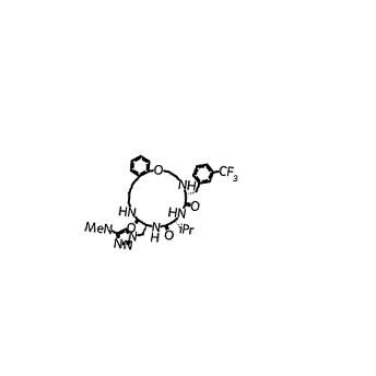 CNc1cn(C[C@@H]2NC(=O)[C@@H](C(C)C)NC(=O)[C@@H](Cc3cccc(C(F)(F)F)c3)NCCOc3ccccc3CCCNC2=O)nn1